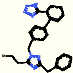 CC(C)CCc1nc(Cc2ccccc2)nn1Cc1ccc(-c2ccccc2-c2nnn[nH]2)cc1